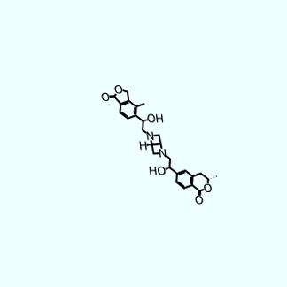 Cc1c([C@@H](O)CN2CC3[C@@H]2CN3C[C@H](O)c2ccc3c(c2)C[C@H](C)OC3=O)ccc2c1COC2=O